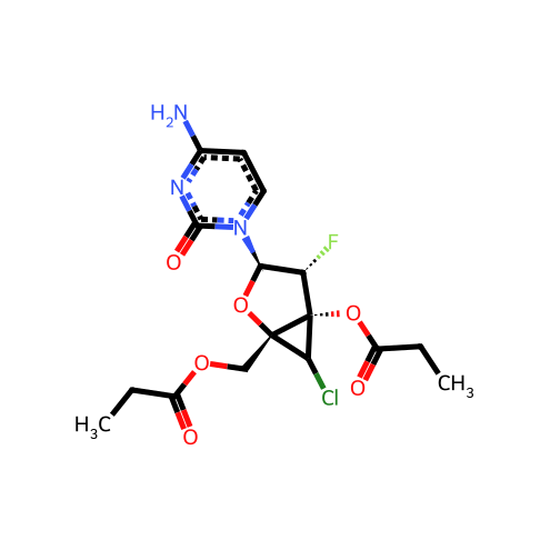 CCC(=O)OC[C@@]12O[C@@H](n3ccc(N)nc3=O)[C@H](F)[C@@]1(OC(=O)CC)C2Cl